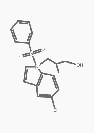 CC(CO)C[N+]1(S(=O)(=O)c2ccccc2)C=Cc2cc(Cl)ccc21